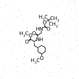 COC(=O)[C@H](CC1CCCC(OC)C1)NC(=O)CNC(=O)OC(C)(C)C